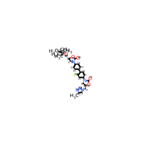 Cc1cn(C[C@H]2CN(c3ccc(-c4ccc(N5C[C@H](CO[Si](C)(C)C(C)(C)C)OC5=O)cc4)c(F)c3)C(=O)O2)nn1